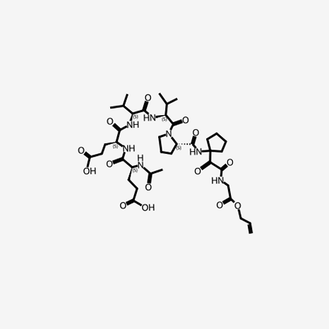 C=CCOC(=O)CNC(=O)C(=O)C1(NC(=O)[C@@H]2CCCN2C(=O)[C@@H](NC(=O)[C@@H](NC(=O)[C@H](CCC(=O)O)NC(=O)[C@H](CCC(=O)O)NC(C)=O)C(C)C)C(C)C)CCCC1